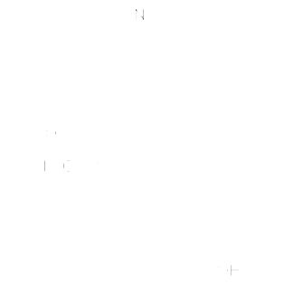 CC12CCC3c4ccc(O)cc4CCC3C1CC(=Cc1ccncc1)C2=O